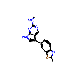 CNc1ncc2c(-c3ccc4nc(C)sc4c3)c[nH]c2n1